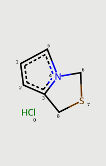 Cl.c1cc2n(c1)CSC2